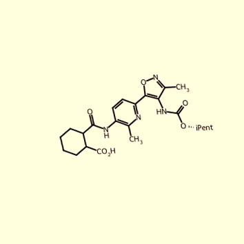 CCC[C@@H](C)OC(=O)Nc1c(C)noc1-c1ccc(NC(=O)C2CCCCC2C(=O)O)c(C)n1